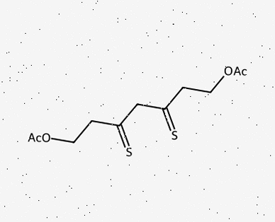 CC(=O)OCCC(=S)CC(=S)CCOC(C)=O